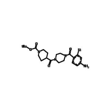 CCc1cc(N)ccc1C(=O)N1CCN(C(=O)C2CCN(C(=O)OC(C)(C)C)CC2)CC1